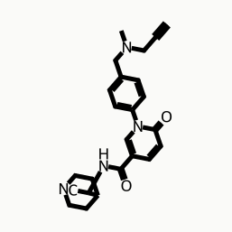 C#CCN(C)Cc1ccc(-n2cc(C(=O)NC3CN4CCC3CC4)ccc2=O)cc1